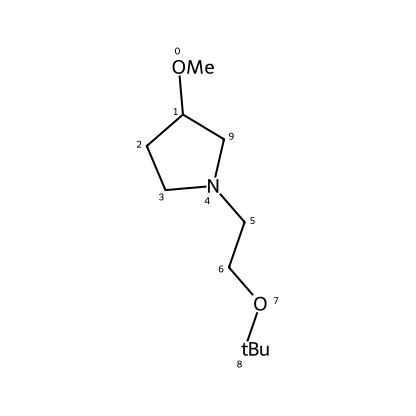 COC1CCN(CCOC(C)(C)C)C1